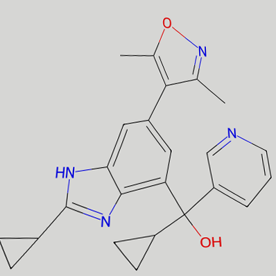 Cc1noc(C)c1-c1cc(C(O)(c2cccnc2)C2CC2)c2nc(C3CC3)[nH]c2c1